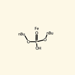 CCCCOP(=O)(O)OCCCC.[Fe]